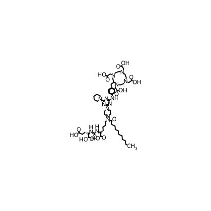 CCCCCCCCCCC(=O)N(CCCC[C@H](NC(=O)N[C@@H](CCC(=O)O)C(=O)O)C(=O)O)N1CCN(c2nc(Nc3ccc(CC4CN(CC(=O)O)CCN(CC(=O)O)CCN(CC(=O)O)CCN4CC(=O)O)cc3)nc(N3CCCCC3)n2)CC1